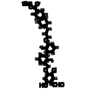 Cc1c(COc2cc(O)c(C=O)cc2Cl)cccc1-c1cccc(OCCCN2CCC3(CC2)CCN(C(=O)OC(C)(C)C)CC3)c1C